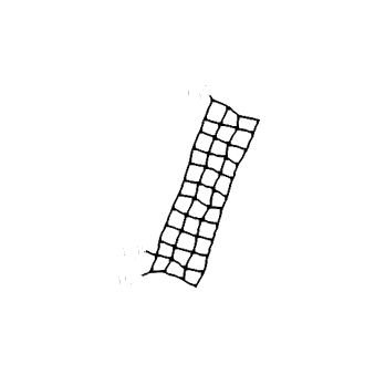 BC12C(C)C3C4CC5C6C7C8C9C%10C%11C%12C%13C%14CC%15C%16C(C)C%17C%18C%19C%20C%21C%22C%23C%24C1C1%25C32C45C61C71C%24%25C%232C81C91C%103C%114C%125C%136C%15%14C%16%17C%186C%195C%204C%213C%2221